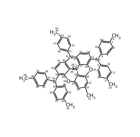 Cc1ccc(N(c2ccc(C)cc2)c2ccc3c4c2Oc2cc(C)cc5c2P4(=S)c2c(ccc(N(c4ccc(C)cc4)c4ccc(C)cc4)c2O5)N3c2ccc(C)cc2)cc1